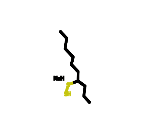 CCCCCCC(CCC)SS.[NaH]